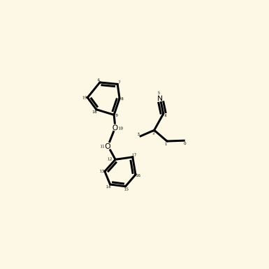 CCC(C)C#N.c1ccc(OOc2ccccc2)cc1